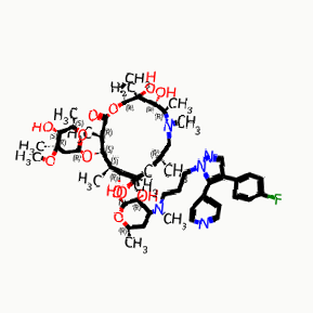 CC[C@H]1OC(=O)[C@H](C)[C@@H](O[C@H]2C[C@@](C)(OC)[C@@H](O)[C@H](C)O2)[C@H](C)[C@@H](O[C@@H]2O[C@H](C)CC(N(C)CCCn3ncc(-c4ccc(F)cc4)c3-c3ccncc3)[C@H]2O)[C@](C)(O)C[C@@H](C)CN(C)[C@H](C)[C@@H](O)[C@]1(C)O